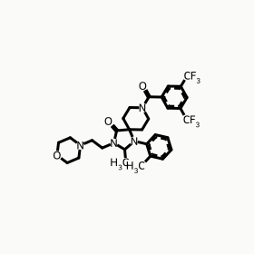 Cc1ccccc1N1C(C)N(CCN2CCOCC2)C(=O)C12CCN(C(=O)c1cc(C(F)(F)F)cc(C(F)(F)F)c1)CC2